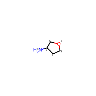 NC1[CH]COC1